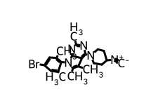 [C-]#[N+]C1CCN(c2nc(C)nc3c2c(C)c(C)n3-c2c(C)cc(Br)cc2C)CC1